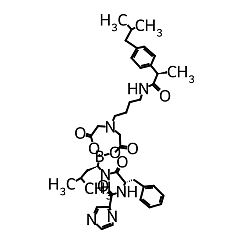 CC(C)Cc1ccc([C@@H](C)C(=O)NCCCCN2CC(=O)OB([C@H](CC(C)C)NC(=O)[C@H](Cc3ccccc3)NC(=O)c3cnccn3)OC(=O)C2)cc1